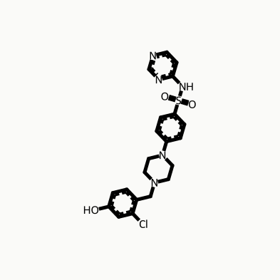 O=S(=O)(Nc1ccncn1)c1ccc(N2CCN(Cc3ccc(O)cc3Cl)CC2)cc1